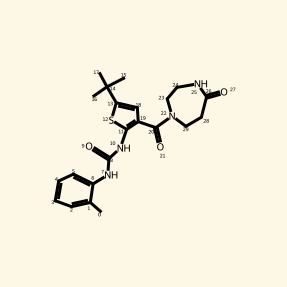 Cc1ccccc1NC(=O)Nc1sc(C(C)(C)C)cc1C(=O)N1CCNC(=O)CC1